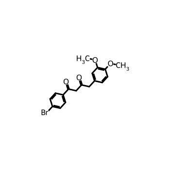 COc1ccc(CC(=O)CC(=O)c2ccc(Br)cc2)cc1OC